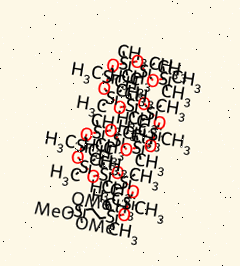 CO[Si](CC[Si](C)(C)O[Si](C)(C)O[Si](C)(C)O[Si](C)(C)O[Si](C)(C)O[Si](C)(C)O[Si](C)(C)O[Si](C)(C)O[Si](C)(C)O[Si](C)(C)O[Si](C)(C)O[Si](C)(C)O[Si](C)(C)O[Si](C)(C)O[Si](C)(C)O[Si](C)(C)O[Si](C)(C)C)(OC)OC